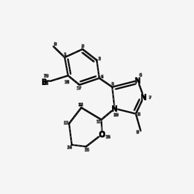 Cc1ccc(-c2nnc(C)n2C2CCCCO2)cc1Br